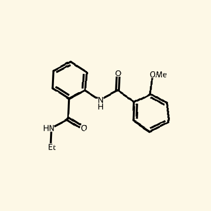 CCNC(=O)c1ccccc1NC(=O)c1ccccc1OC